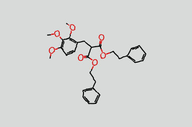 COc1ccc(CC(C(=O)OCCc2ccccc2)C(=O)OCCc2ccccc2)c(OC)c1OC